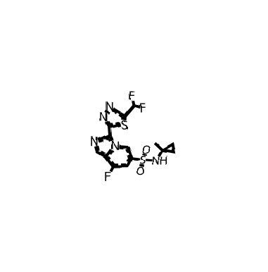 CC1(NS(=O)(=O)c2cc(F)c3cnc(-c4nnc(C(F)F)s4)n3c2)CC1